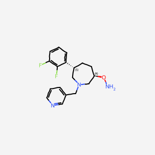 NO[C@@H]1CC[C@@H](c2cccc(F)c2F)CN(Cc2cccnc2)C1